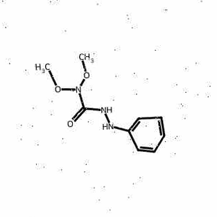 CON(OC)C(=O)NNc1ccccc1